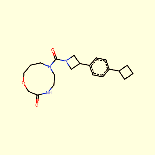 O=C1COCCCN(C(=O)N2CC(c3ccc(C4CCC4)cc3)C2)CCN1